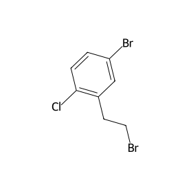 Clc1ccc(Br)cc1CCBr